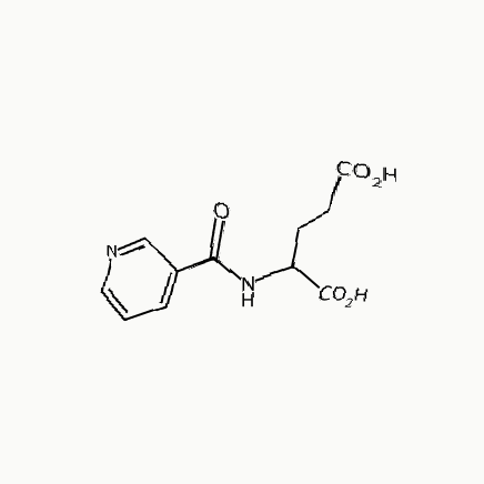 O=C(O)CCC(NC(=O)c1cccnc1)C(=O)O